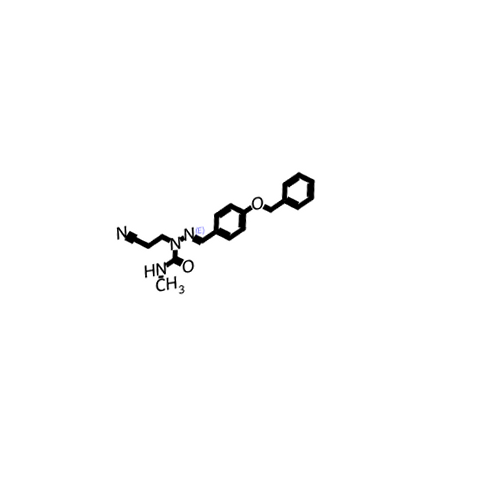 CNC(=O)N(CCC#N)/N=C/c1ccc(OCc2ccccc2)cc1